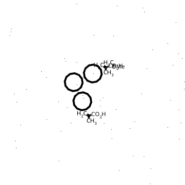 C1CCCCCCCCCCC1.C1CCCCCCCCCCC1.C1CCCCCCCCCCC1.C=C(C)C(=O)O.C=C(C)C(=O)O.COC